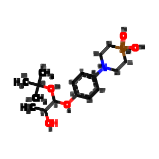 CC(O)C(Oc1ccc(N2CCS(=O)(=O)CC2)cc1)OC(C)(C)C